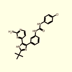 CC(C)(C)c1nc(-c2cccc(NC(=O)Nc3ccc(Cl)cc3)c2)c(-c2ccnc(N)n2)[nH]1